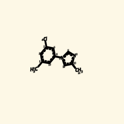 Cc1cc(Cl)cc(-n2cnc(C)c2)c1